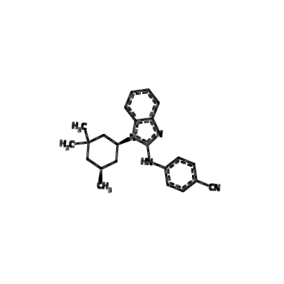 C[C@@H]1C[C@H](n2c(Nc3ccc(C#N)cc3)nc3ccccc32)CC(C)(C)C1